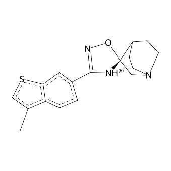 Cc1csc2cc(C3=NO[C@]4(CN5CCC4CC5)N3)ccc12